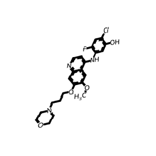 COc1cc2c(Nc3cc(O)c(Cl)cc3F)ccnc2cc1OCCCN1CCOCC1